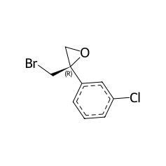 Clc1cccc([C@]2(CBr)CO2)c1